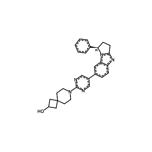 OC1CC2(CCN(c3ncc(-c4ccc5nc6n(c5c4)[C@@H](c4ccccc4)CC6)cn3)CC2)C1